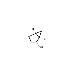 O[C@@H]1CC[C@H]2C[C@H]21